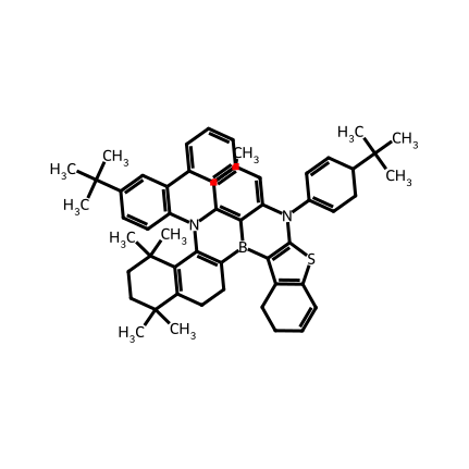 Cc1cc2c3c(c1)N(C1=CCC(C(C)(C)C)C=C1)c1sc4c(c1B3C1=C(C3=C(CC1)C(C)(C)CCC3(C)C)N2c1ccc(C(C)(C)C)cc1-c1ccccc1)CCC=C4